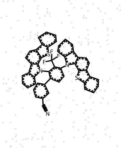 N#Cc1cccc(-c2ccc(-n3c4ccccc4c4ccc5c6ccccc6sc5c43)c(C(F)(F)F)c2-n2c3ccccc3c3ccc4c5ccccc5sc4c32)c1